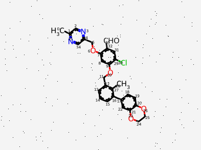 Cc1cnc(COc2cc(OCc3cccc(-c4ccc5c(c4)OCCO5)c3C)c(Cl)cc2C=O)cn1